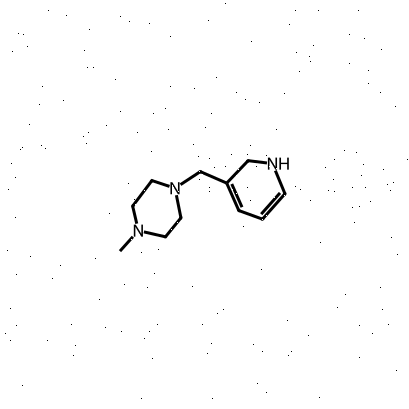 CN1CCN(CC2=CC=CNC2)CC1